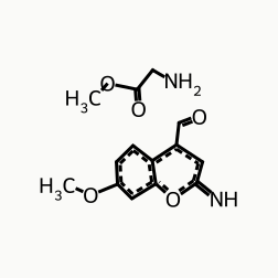 COC(=O)CN.COc1ccc2c(C=O)cc(=N)oc2c1